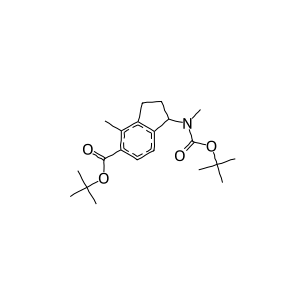 Cc1c(C(=O)OC(C)(C)C)ccc2c1CCC2N(C)C(=O)OC(C)(C)C